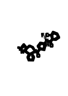 Cn1cc2c(n1)-c1ccccc1N(C(=O)c1ccc(NC(=O)c3ccccc3C(F)(F)F)cc1)CC2